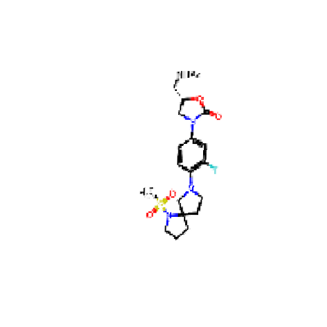 CC(=O)NC[C@H]1CN(c2ccc(N3CCC4(CCCN4S(C)(=O)=O)C3)c(F)c2)C(=O)O1